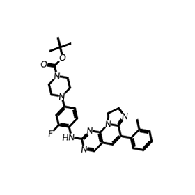 Cc1ccccc1C1=Cc2cnc(Nc3ccc(N4CCN(C(=O)OC(C)(C)C)CC4)cc3F)nc2N2CCN=C12